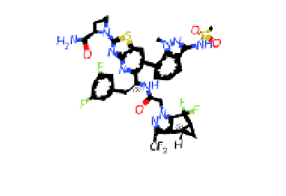 Cn1nc(NS(C)(=O)=O)c2cccc(-c3cc4sc(N5CCC5C(N)=O)nc4nc3[C@H](Cc3cc(F)cc(F)c3)NC(=O)Cn3nc(C(F)(F)F)c4c3C(F)(F)C3C[C@H]43)c21